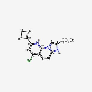 CCOC(=O)c1cn2c(ccc3c(Br)cc(C4=CCC4)nc32)n1